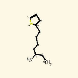 CCC(C)CCCC[C]1CC=CS1